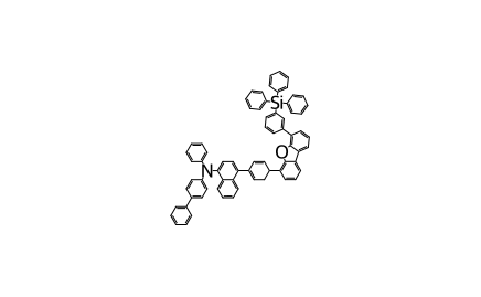 C1=CC(c2cccc3c2oc2c(-c4cccc([Si](c5ccccc5)(c5ccccc5)c5ccccc5)c4)cccc23)CC=C1c1ccc(N(c2ccccc2)c2ccc(-c3ccccc3)cc2)c2ccccc12